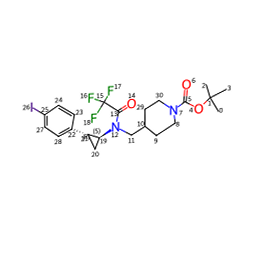 CC(C)(C)OC(=O)N1CCC(CN(C(=O)C(F)(F)F)[C@H]2C[C@@H]2c2ccc(I)cc2)CC1